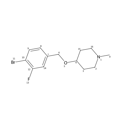 CN1CCC(OCc2ccc(Br)c(F)c2)CC1